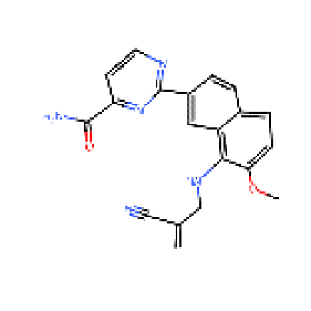 C=C(C#N)CNc1c(OC)ccc2ccc(-c3nccc(C(N)=O)n3)cc12